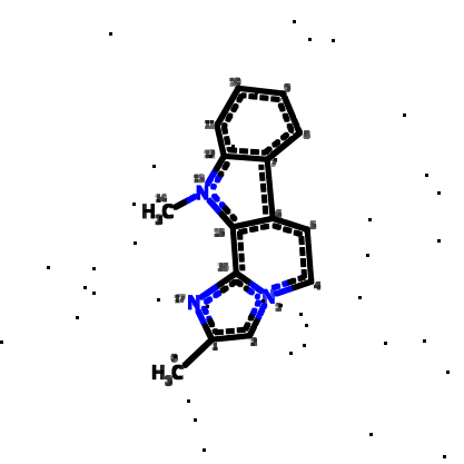 Cc1cn2ccc3c4ccccc4n(C)c3c2n1